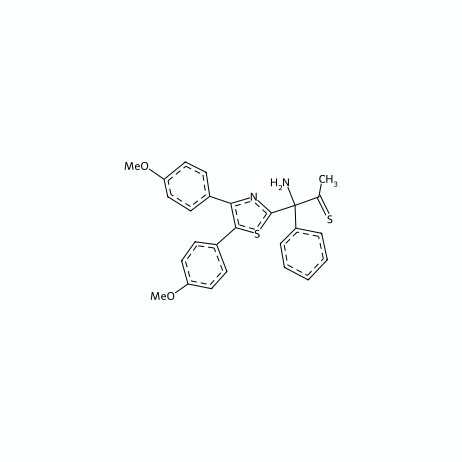 COc1ccc(-c2nc(C(N)(C(C)=S)c3ccccc3)sc2-c2ccc(OC)cc2)cc1